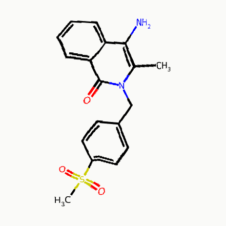 Cc1c(N)c2ccccc2c(=O)n1Cc1ccc(S(C)(=O)=O)cc1